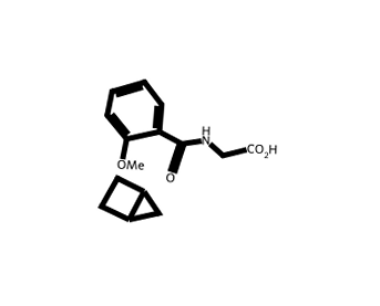 C1CC2CC12.COc1ccccc1C(=O)NCC(=O)O